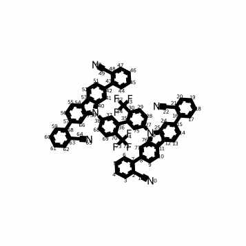 N#Cc1ccccc1-c1ccc2c3ccc(-c4ccccc4C#N)cc3n(-c3ccc(C(F)(F)F)c(-c4cc(-n5c6cc(-c7ccccc7C#N)ccc6c6ccc(-c7ccccc7C#N)cc65)ccc4C(F)(F)F)c3)c2c1